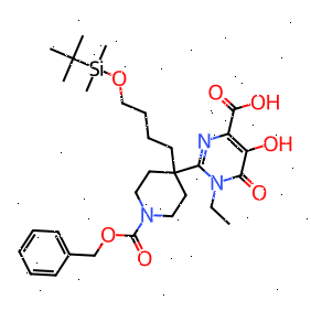 CCn1c(C2(CCCCO[Si](C)(C)C(C)(C)C)CCN(C(=O)OCc3ccccc3)CC2)nc(C(=O)O)c(O)c1=O